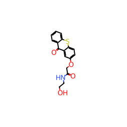 O=C(COc1ccc2sc3ccccc3c(=O)c2c1)NCCO